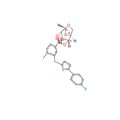 Cc1ccc(B2OC3[C@@H]4OC[C@H](O4)[C@H](O2)[C@@H]3O)cc1Cc1ccc(-c2ccc(F)cc2)s1